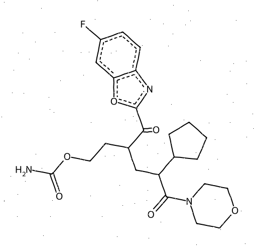 NC(=O)OCCC(CC(C(=O)N1CCOCC1)C1CCCC1)C(=O)c1nc2ccc(F)cc2o1